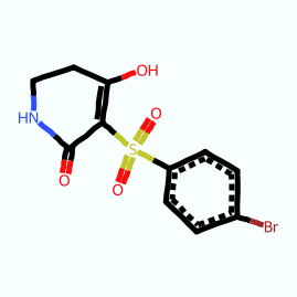 O=C1NCCC(O)=C1S(=O)(=O)c1ccc(Br)cc1